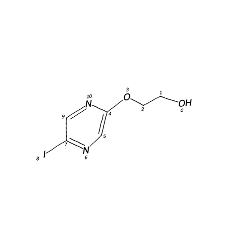 OCCOc1cnc(I)cn1